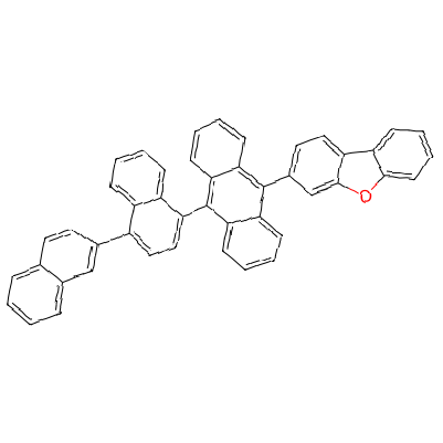 c1ccc2cc(-c3ccc(-c4c5ccccc5c(-c5ccc6c(c5)oc5ccccc56)c5ccccc45)c4ccccc34)ccc2c1